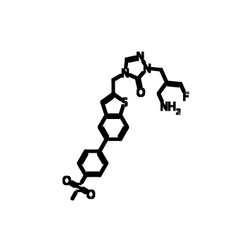 CS(=O)(=O)c1ccc(-c2ccc3sc(Cn4cnn(C/C(=C/F)CN)c4=O)cc3c2)cc1